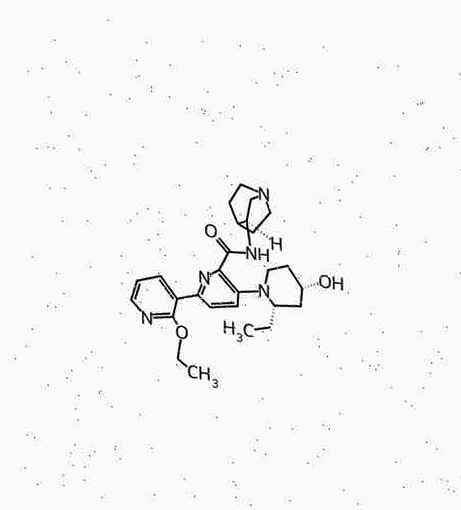 CCOc1ncccc1-c1ccc(N2CC[C@H](O)C[C@@H]2CC)c(C(=O)N[C@@H]2CN3CCC2CC3)n1